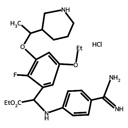 CCOC(=O)C(Nc1ccc(C(=N)N)cc1)c1cc(OCC)cc(OC(C)C2CCCNC2)c1F.Cl